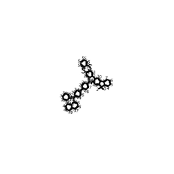 CC1(C)c2ccccc2-c2cc3c4cc5c(cc4n(-c4ccc(-c6ccc(N(c7ccccc7)c7cccc8ccccc78)cc6)cc4)c3cc21)Sc1ccccc1S5